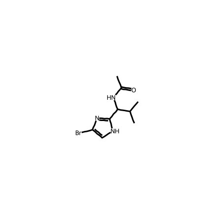 CC(=O)NC(c1nc(Br)c[nH]1)C(C)C